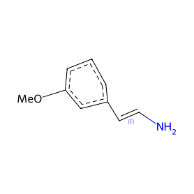 COc1cccc(/C=C/N)c1